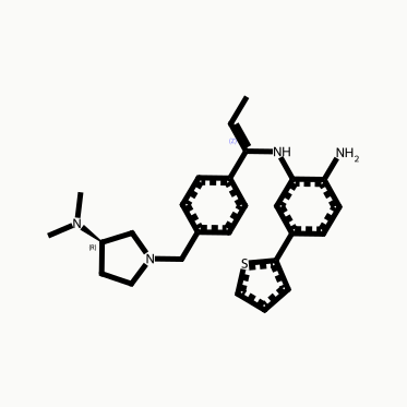 C/C=C(\Nc1cc(-c2cccs2)ccc1N)c1ccc(CN2CC[C@@H](N(C)C)C2)cc1